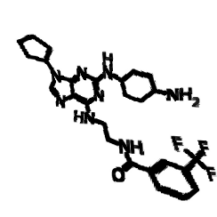 NC1CCC(Nc2nc(NCCNC(=O)c3cccc(C(F)(F)F)c3)c3ncn(C4CCCC4)c3n2)CC1